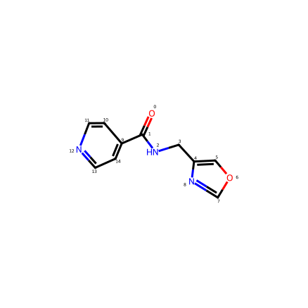 O=C(NCc1cocn1)c1ccncc1